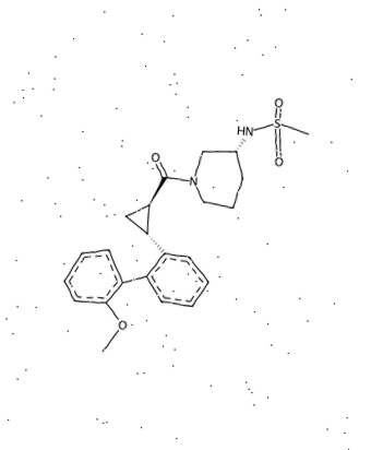 COc1ccccc1-c1ccccc1[C@@H]1C[C@H]1C(=O)N1CCC[C@@H](NS(C)(=O)=O)C1